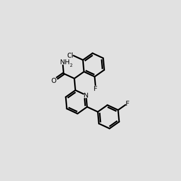 NC(=O)C(c1cccc(-c2cccc(F)c2)n1)c1c(F)cccc1Cl